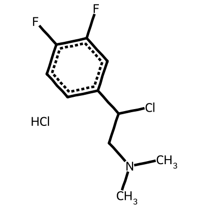 CN(C)CC(Cl)c1ccc(F)c(F)c1.Cl